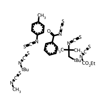 CC(C)(C)CC(C)(C)N=C=S.CC(C)(C)N=C=S.CCOC(=O)N=C=S.CN=C=S.Cc1ccc(N=C=S)cc1.O=C(N=C=S)c1ccccc1